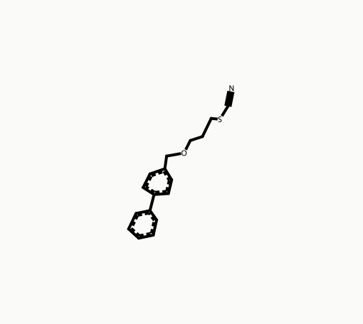 N#CSCCCOCc1ccc(-c2ccccc2)cc1